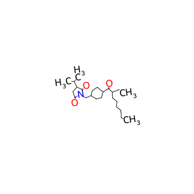 CCCCCCC(CC)C(=O)C1CCC(CN2C(=O)CC(C(C)C)C2=O)CC1